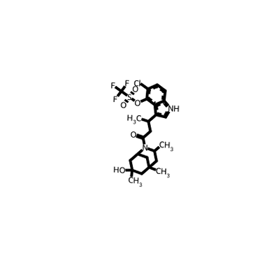 CC(CC(=O)N1C(C)CC2(C)CC1CC(C)(O)C2)c1c[nH]c2ccc(Cl)c(OS(=O)(=O)C(F)(F)F)c12